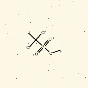 COS(=O)(=O)C(C)(Cl)Cl